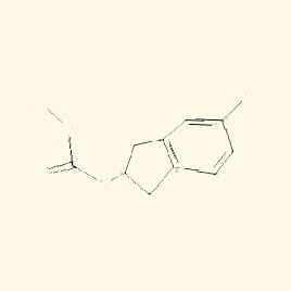 Cc1ccc2c(c1)CC(NC(=O)OC(C)(C)C)C2